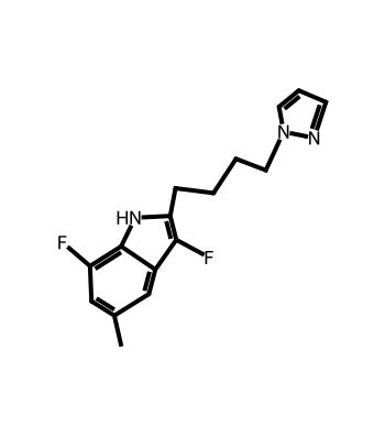 Cc1cc(F)c2[nH]c(CCCCn3cccn3)c(F)c2c1